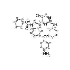 Nc1ccc(O[C@@H]2CCC[C@@H](Nc3ncc(Cl)c(-c4cn(S(=O)(=O)c5ccccc5)c5ccccc45)n3)C2)cc1